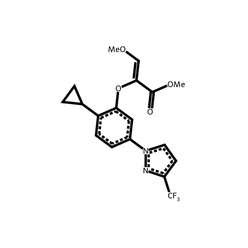 CO/C=C(\Oc1cc(-n2ccc(C(F)(F)F)n2)ccc1C1CC1)C(=O)OC